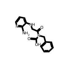 Nc1ncccc1NCC(=O)N(Cc1ccccc1)C(=O)O